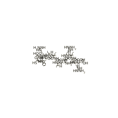 CC[C@H](C)[C@H](NC(=O)CNC(=O)[C@@H](NC(=O)[C@@H](NC(=O)[C@H](Cc1c[nH]c2ccccc12)NC(=O)[C@H](CCCNC(=N)N)NC(=O)[C@@H](NC(=O)[C@@H](N)CS)[C@@H](C)O)[C@@H](C)CC)[C@@H](C)CC)C(=O)N[C@@H](CC(N)=O)C(=O)NCC(=O)N[C@@H](CCCNC(=N)N)C(=O)N[C@H](C(=O)N[C@@H](CS)C(=O)N[C@@H](CCCNC(=N)N)C(=O)N[C@@H](CC(=O)O)C(=O)O)[C@@H](C)CC